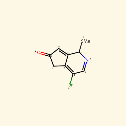 CSC1N=CC(Br)=C2CC(=O)C=C21